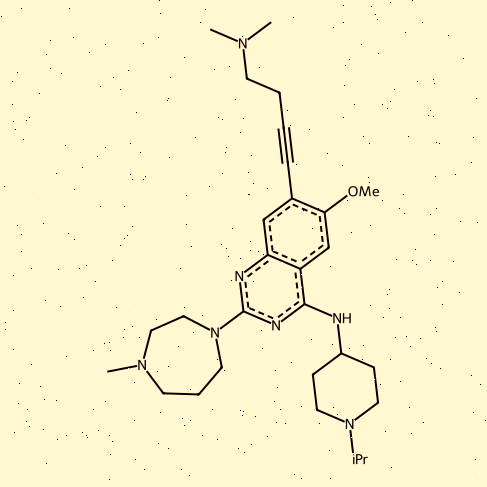 COc1cc2c(NC3CCN(C(C)C)CC3)nc(N3CCCN(C)CC3)nc2cc1C#CCCN(C)C